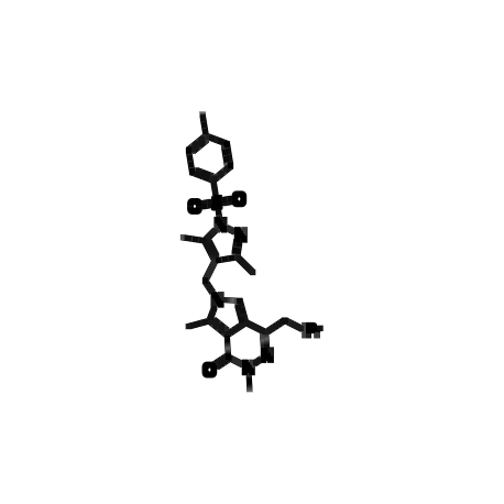 Cc1ccc(S(=O)(=O)n2nc(C)c(Cn3cc4c(CC(C)C)nn(C)c(=O)c4c3C)c2C)cc1